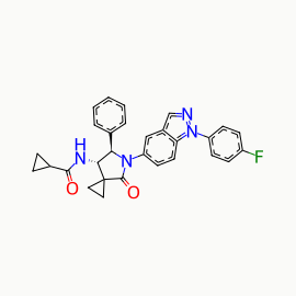 O=C(N[C@@H]1[C@@H](c2ccccc2)N(c2ccc3c(cnn3-c3ccc(F)cc3)c2)C(=O)C12CC2)C1CC1